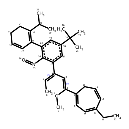 C/C=C(\C=C(/OC)C1=CC=C(CC)C=CC1)c1cc(C(C)(C)C)cc(C2=C(C(C)C)CCC=C2)c1N=O